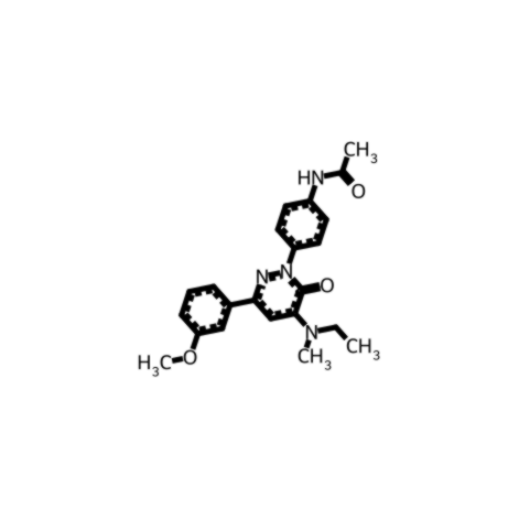 CCN(C)c1cc(-c2cccc(OC)c2)nn(-c2ccc(NC(C)=O)cc2)c1=O